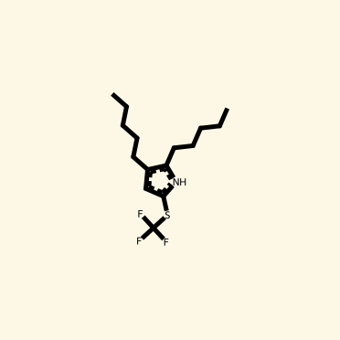 CCCCCc1cc(SC(F)(F)F)[nH]c1CCCCC